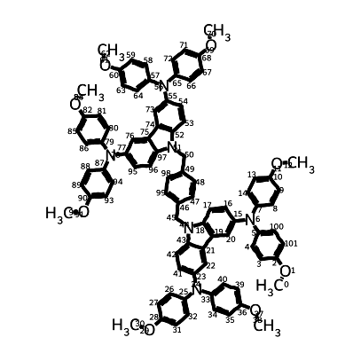 COc1ccc(N(c2ccc(OC)cc2)c2ccc3c(c2)c2cc(N(c4ccc(OC)cc4)c4ccc(OC)cc4)ccc2n3Cc2ccc(Cn3c4ccc(N(c5ccc(OC)cc5)c5ccc(OC)cc5)cc4c4cc(N(c5ccc(OC)cc5)c5ccc(OC)cc5)ccc43)cc2)cc1